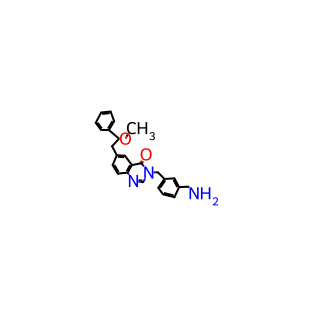 COC(Cc1ccc2ncn(Cc3cccc(CN)c3)c(=O)c2c1)c1ccccc1